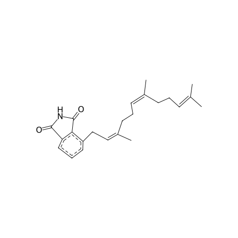 CC(C)=CCCC(C)=CCCC(C)=CCc1cccc2c1C(=O)NC2=O